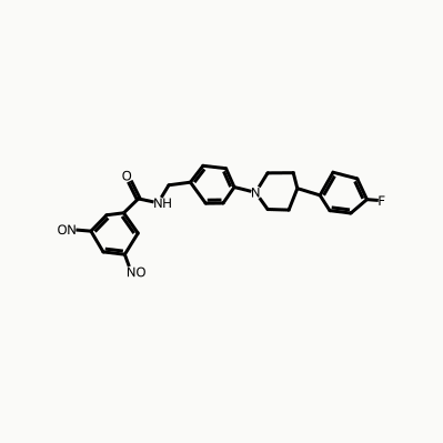 O=Nc1cc(N=O)cc(C(=O)NCc2ccc(N3CCC(c4ccc(F)cc4)CC3)cc2)c1